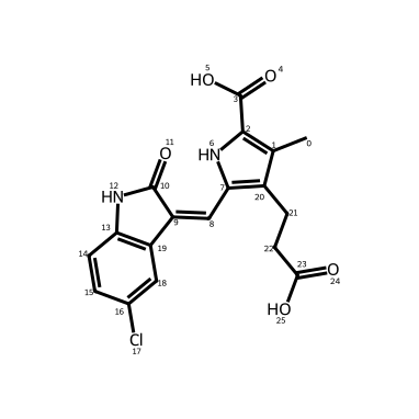 Cc1c(C(=O)O)[nH]c(/C=C2\C(=O)Nc3ccc(Cl)cc32)c1CCC(=O)O